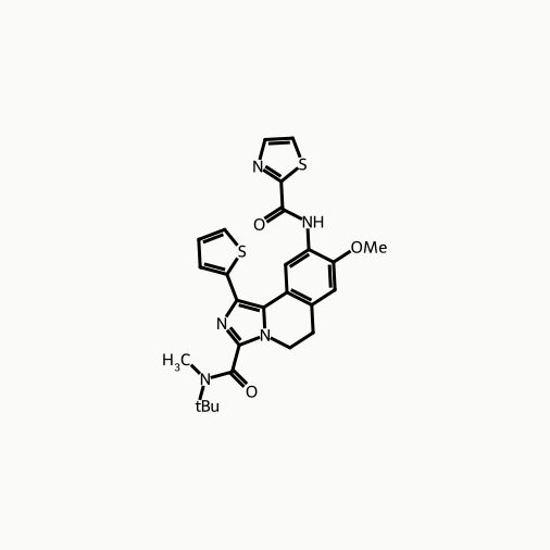 COc1cc2c(cc1NC(=O)c1nccs1)-c1c(-c3cccs3)nc(C(=O)N(C)C(C)(C)C)n1CC2